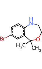 CC1(C)OCCNc2ccc(Br)cc21